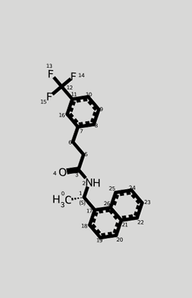 C[C@H](NC(=O)CCc1cccc(C(F)(F)F)c1)c1cccc2ccccc12